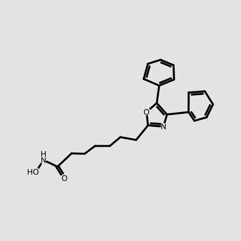 O=C(CCCCCCc1nc(-c2ccccc2)c(-c2ccccc2)o1)NO